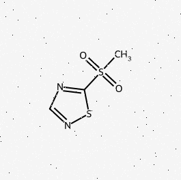 CS(=O)(=O)c1ncns1